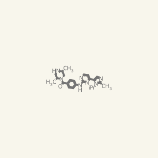 Cc1ncc(-c2ccnc(Nc3ccc(C(=O)N4CC(C)NCC4C)cc3)n2)n1C(C)C